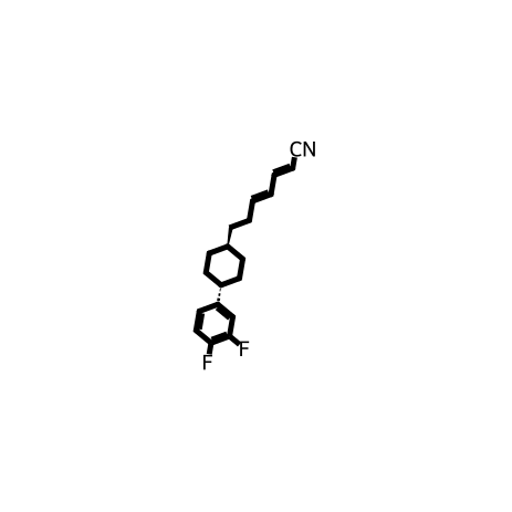 N#CC=CC=CCC[C@H]1CC[C@H](c2ccc(F)c(F)c2)CC1